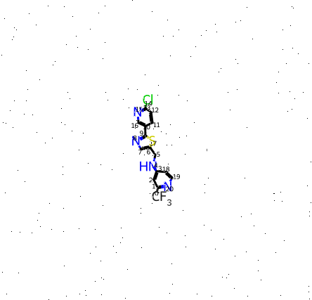 FC(F)(F)c1cc(NCc2cnc(-c3ccc(Cl)nc3)s2)ccn1